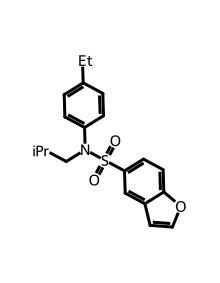 CCc1ccc(N(CC(C)C)S(=O)(=O)c2ccc3occc3c2)cc1